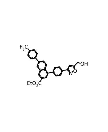 CCOC(=O)c1cc(-c2ccc(-c3cc(CO)on3)cc2)c2ccc(-c3ccc(C(F)(F)F)cc3)cc2c1